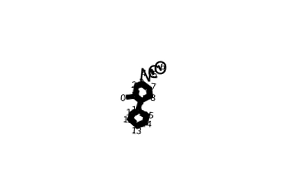 Cc1cc(N=C=O)ccc1-c1ccccc1